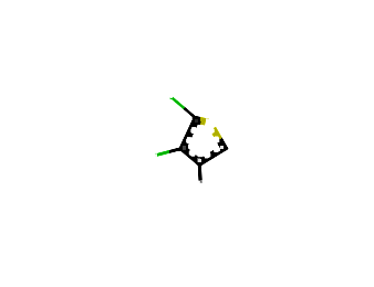 Cc1csc(Cl)c1Cl